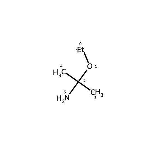 C[CH]OC(C)(C)N